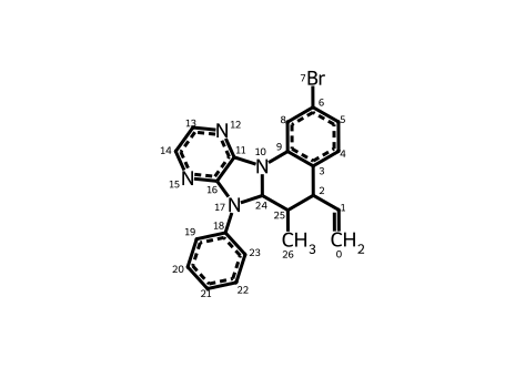 C=CC1c2ccc(Br)cc2N2c3nccnc3N(c3ccccc3)C2C1C